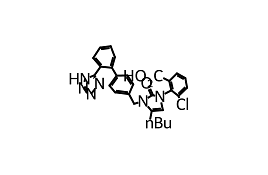 CCCCc1cn(-c2c(Cl)cccc2C(=O)O)c(=O)n1Cc1ccc(-c2ccccc2-c2nnn[nH]2)cc1